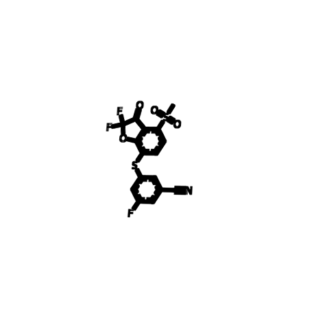 CS(=O)(=O)c1ccc(Sc2cc(F)cc(C#N)c2)c2c1C(=O)C(F)(F)O2